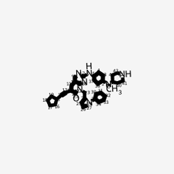 CN(c1ccc(Nc2ncc3cc(C#CC4CCCC4)c(=O)n(Cc4cccn4-c4ccccc4)c3n2)cc1)C1CCNCC1